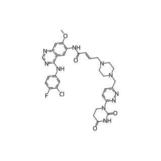 COc1cc2ncnc(Nc3ccc(F)c(Cl)c3)c2cc1NC(=O)/C=C/CN1CCN(Cc2ccc(N3CCC(=O)NC3=O)nn2)CC1